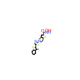 Cc1c(-c2cnc(N3CCc4sc(C(=O)NO)cc4C3)s2)sc2ccccc12